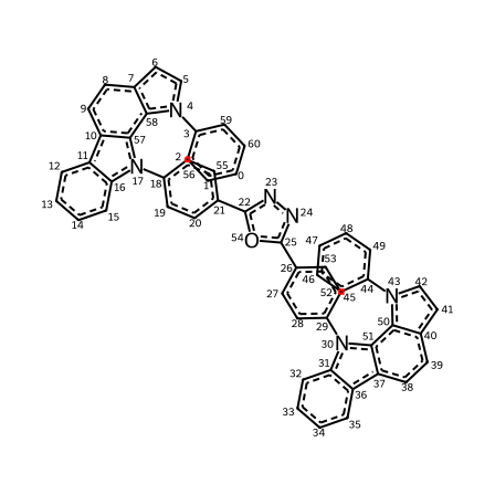 c1ccc(-n2ccc3ccc4c5ccccc5n(-c5ccc(-c6nnc(-c7ccc(-n8c9ccccc9c9ccc%10ccn(-c%11ccccc%11)c%10c98)cc7)o6)cc5)c4c32)cc1